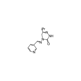 CC(C)C1=NNC(=O)N(/N=C/c2cccnc2)C1